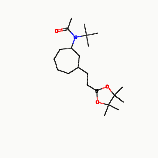 CC(=O)N(C1CCCCC(CCB2OC(C)(C)C(C)(C)O2)C1)C(C)(C)C